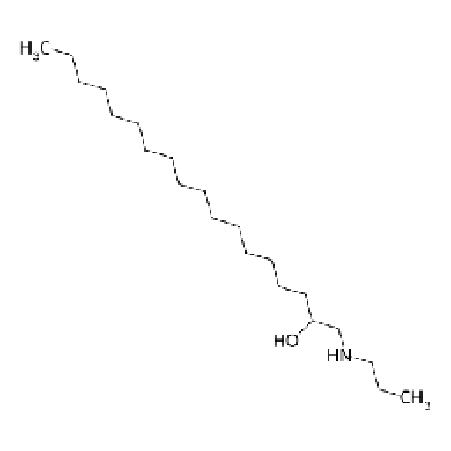 CCCCCCCCCCCCCCCCC(O)CNCCC